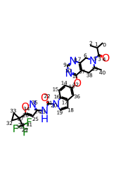 CC(C)C(=O)N1Cc2ncnc(Oc3ccc4c(ccn4C(=O)Nc4cc(C5(C(F)(F)F)CC5)on4)c3)c2CC1C